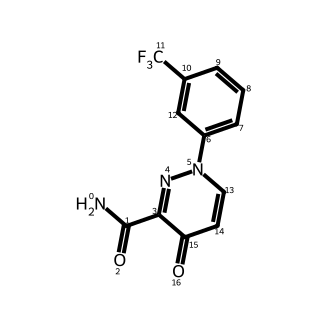 NC(=O)c1nn(-c2cccc(C(F)(F)F)c2)ccc1=O